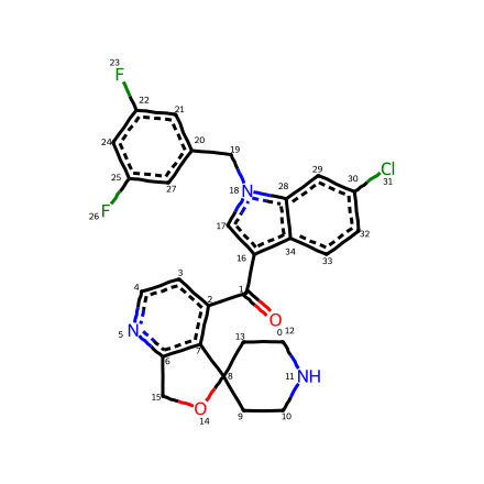 O=C(c1ccnc2c1C1(CCNCC1)OC2)c1cn(Cc2cc(F)cc(F)c2)c2cc(Cl)ccc12